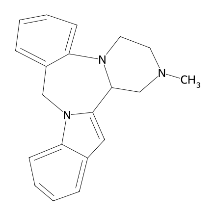 CN1CCN2c3ccccc3Cn3c(cc4ccccc43)C2C1